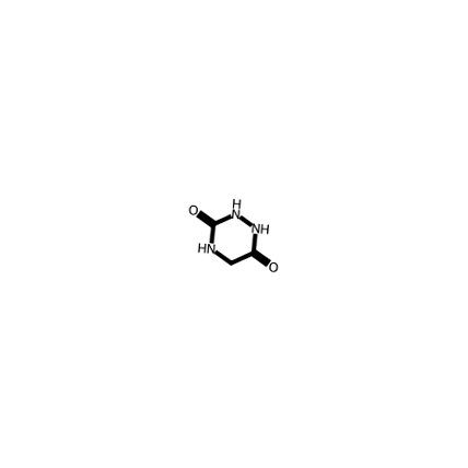 O=C1CNC(=O)NN1